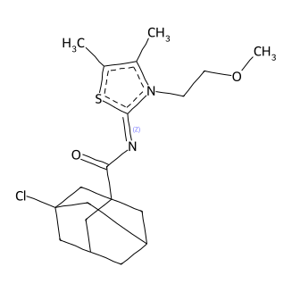 COCCn1c(C)c(C)s/c1=N\C(=O)C12CC3CC(CC(Cl)(C3)C1)C2